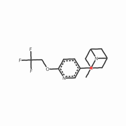 CN1CC2CC(C1)N2Cc1ccc(OCC(F)(F)F)nc1